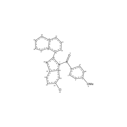 COc1ccc(C(=O)n2c(-c3cccc4ccccc34)nc3ccc(Cl)cc32)cc1